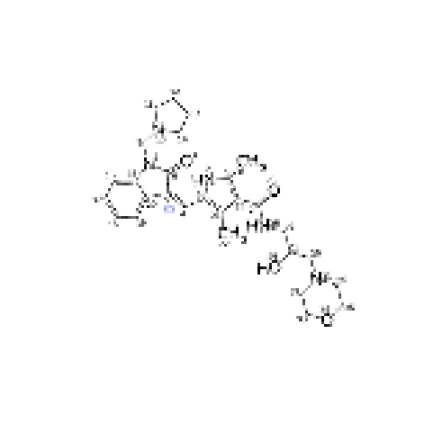 Cc1[nH]c(/C=C2\C(=O)N(CN3CCCC3)c3ccccc32)c(C)c1C(=O)NCC(O)CN1CCOCC1